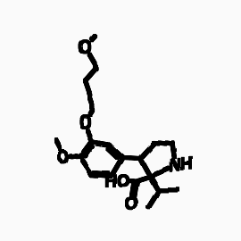 COCCCOc1cc(C2CCNC2(C(=O)O)C(C)C)ccc1OC